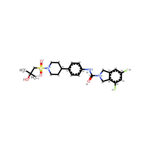 CC(C)(O)CS(=O)(=O)N1CCC(c2ccc(NC(=O)N3Cc4cc(F)cc(F)c4C3)cc2)CC1